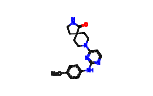 COc1ccc(Nc2nccc(N3CCC4(CCNC4=O)CC3)n2)cc1